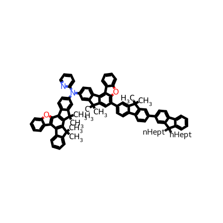 CCCCCCCC1(CCCCCCC)c2ccccc2-c2ccc(-c3ccc4c(c3)C(C)(C)c3cc(-c5cc6c(c7c5oc5ccccc57)-c5ccc(N(c7ccc8c(c7)C(C)(C)c7c9c(c%10c(oc%11ccccc%11%10)c7-8)-c7ccccc7C9(C)C)c7ccccn7)cc5C6(C)C)ccc3-4)cc21